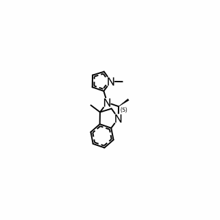 C[C@H]1N2CC(C)(c3ccccc32)N1c1cccn1C